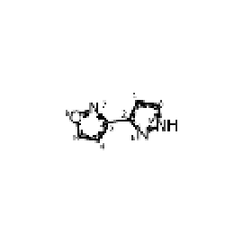 c1cc(-c2ccon2)n[nH]1